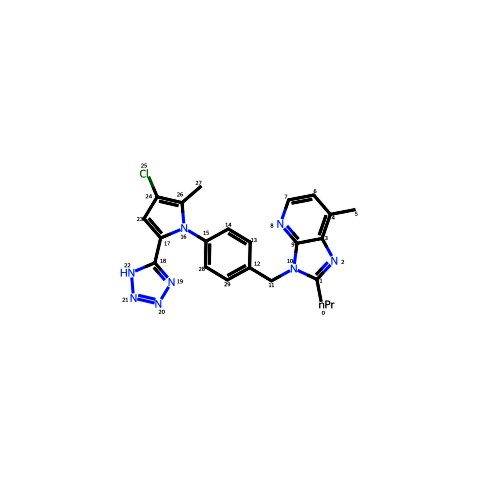 CCCc1nc2c(C)ccnc2n1Cc1ccc(-n2c(-c3nnn[nH]3)cc(Cl)c2C)cc1